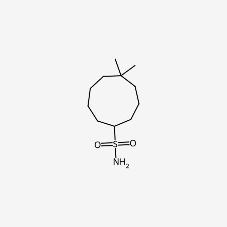 CC1(C)CCCCC(S(N)(=O)=O)CCC1